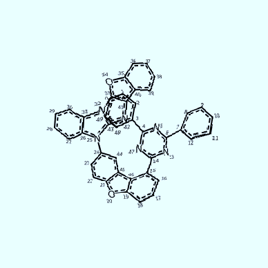 c1ccc(-c2nc(-c3ccccc3)nc(-c3cccc4oc5ccc(-n6c7ccccc7n7c8oc9ccccc9c8nc67)cc5c34)n2)cc1